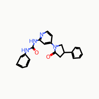 O=C(Nc1ccccc1)Nc1cc(N2CC(c3ccccc3)CC2=O)ccn1